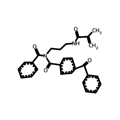 C=C(C)C(=O)NCCCN(C(=O)c1ccccc1)C(=O)c1ccc(C(=O)c2ccccc2)cc1